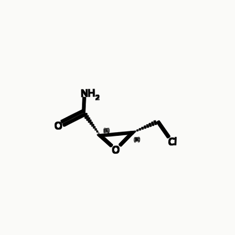 NC(=O)[C@H]1O[C@H]1CCl